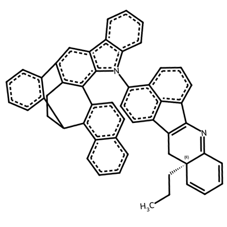 CCC[C@@]12C=CC=CC1=NC1=C(C2)c2ccc(-n3c4ccccc4c4cc5c6c(c43)-c3ccc4ccccc4c3C(CC6)c3ccccc3-5)c3cccc1c23